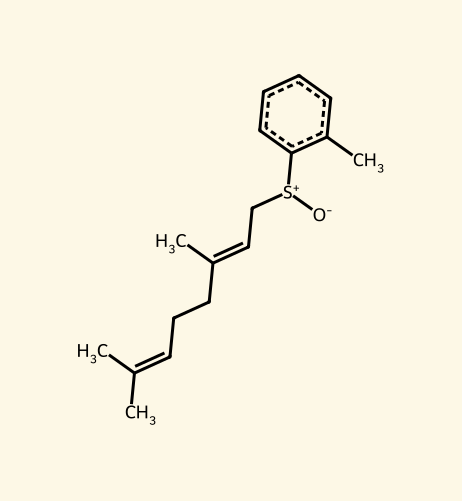 CC(C)=CCC/C(C)=C/C[S+]([O-])c1ccccc1C